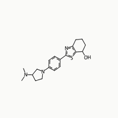 CN(C)C1CCN(c2ccc(-c3nc4c(s3)C(O)CCC4)cc2)C1